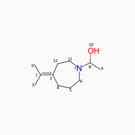 CC(C)=C1CCCN(C(C)O)CC1